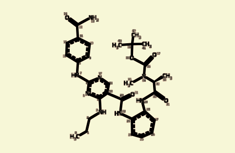 CCCNc1nc(Nc2ccc(C(N)=O)cc2)ncc1C(=O)Nc1ccccc1NC(=O)[C@H](C)N(C)C(=O)OC(C)(C)C